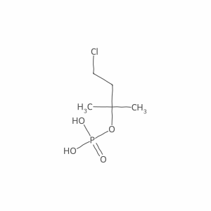 CC(C)(CCCl)OP(=O)(O)O